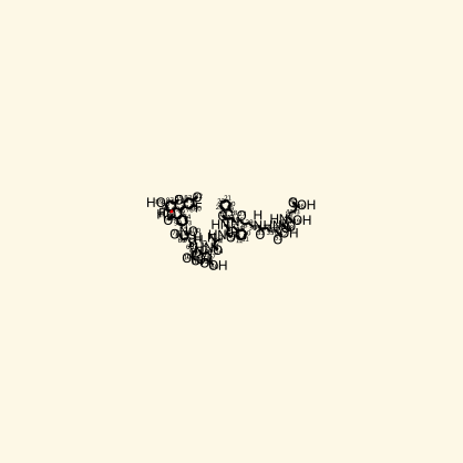 N[C@@H](CNC(=O)[C@H](Cc1ccccc1)NC(=O)[C@H](Cc1ccccc1)NC(=O)CCCNC(=O)CC[C@H](NC(=O)N[C@@H](CCC(=O)O)C(=O)O)C(=O)O)C(=O)N[C@@H](CC(=O)O)C(=O)N[C@@H](CSC1CC(=O)N(c2ccc(-c3c4cc(F)c(=O)cc-4oc4cc(O)c(F)cc34)c(C(=O)O)c2)C1=O)C(=O)O